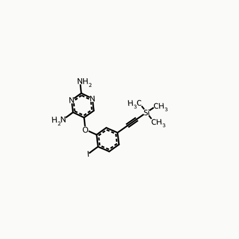 C[Si](C)(C)C#Cc1ccc(I)c(Oc2cnc(N)nc2N)c1